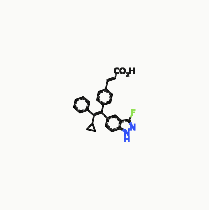 O=C(O)C=Cc1ccc(C(=C(c2ccccc2)C2CC2)c2ccc3[nH]nc(F)c3c2)cc1